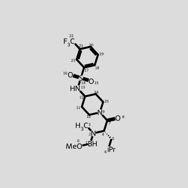 COBN(C)[C@@H](CC(C)C)C(=O)N1CCC(NS(=O)(=O)c2cccc(C(F)(F)F)c2)CC1